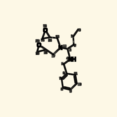 CCCC(NCc1ccccc1)N(CC1CO1)CC1CO1